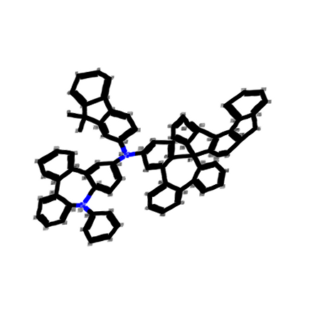 CC1(C)c2ccccc2-c2ccc(N(c3ccc4c(c3)-c3ccccc3-c3ccccc3N4c3ccccc3)c3ccc4c(c3)-c3ccccc3-c3ccccc3C43c4ccccc4-c4c3ccc3c4-c4ccccc4C3)cc21